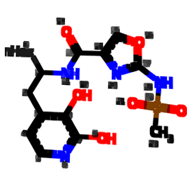 CCCCCCC(Cc1ccnc(O)c1O)NC(=O)c1coc(NS(C)(=O)=O)n1